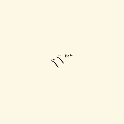 [Ba+2].[O-]I.[O-]I